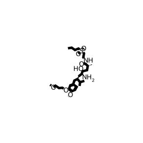 CCCCS(=O)(=O)CCNC(=O)[C@H](C)C[C@H](O)[C@@H](N)C[C@H](Cc1ccc(OC)c(OCCCOC)c1)C(C)C